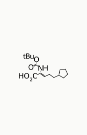 CC(C)(C)OC(=O)N/C(=C\CCC1CCCC1)C(=O)O